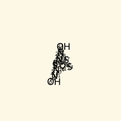 OCCN1CCN(C(=S)c2ccc([C]=S)c([C]=S)c2C(=S)N2CCN(CCO)CC2)CC1